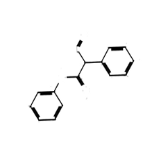 O=IC(C(=O)Oc1ccccc1)c1ccccc1